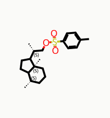 Cc1ccc(S(=O)(=O)OC[C@@H](C)C2CCC3[C@@H](C)CCC[C@]23C)cc1